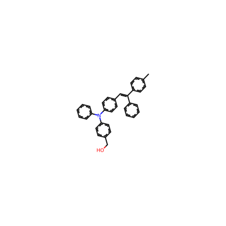 Cc1ccc(C(=Cc2ccc(N(c3ccccc3)c3ccc(CO)cc3)cc2)c2ccccc2)cc1